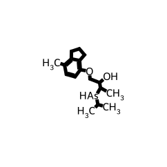 Cc1ccc(OCC(O)C(C)[AsH]C(C)C)c2c1CCC2